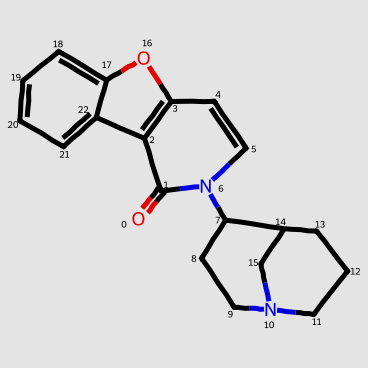 O=c1c2c(ccn1C1CCN3CCCC1C3)oc1ccccc12